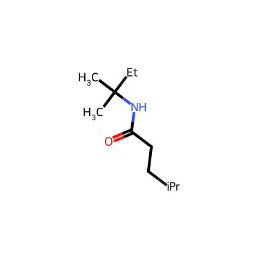 CCC(C)(C)NC(=O)CCC(C)C